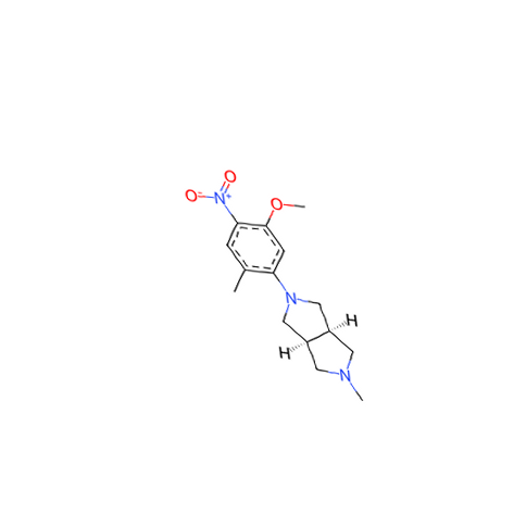 COc1cc(N2C[C@H]3CN(C)C[C@H]3C2)c(C)cc1[N+](=O)[O-]